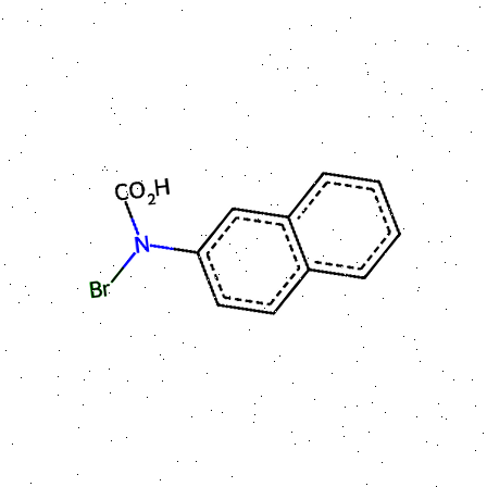 O=C(O)N(Br)c1ccc2ccccc2c1